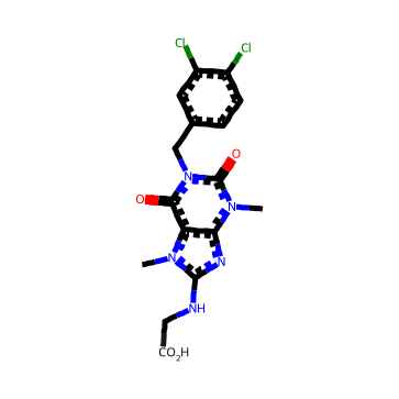 Cn1c(NCC(=O)O)nc2c1c(=O)n(Cc1ccc(Cl)c(Cl)c1)c(=O)n2C